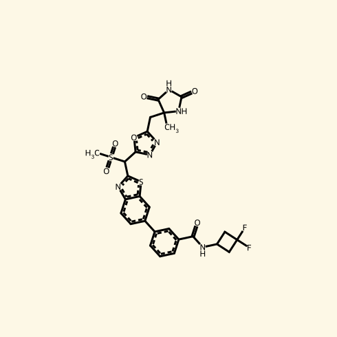 CC1(Cc2nnc(C(c3nc4ccc(-c5cccc(C(=O)NC6CC(F)(F)C6)c5)cc4s3)S(C)(=O)=O)o2)NC(=O)NC1=O